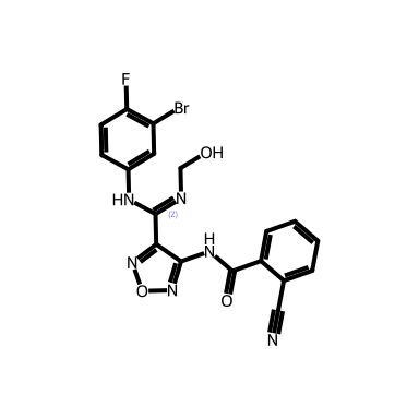 N#Cc1ccccc1C(=O)Nc1nonc1/C(=N/CO)Nc1ccc(F)c(Br)c1